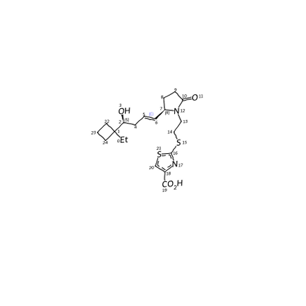 CCC1([C@@H](O)C/C=C/[C@H]2CCC(=O)N2CCSc2nc(C(=O)O)cs2)CCC1